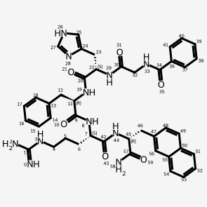 N=C(N)NCCC[C@H](NC(=O)[C@@H](Cc1ccccc1)NC(=O)[C@H](Cc1c[nH]cn1)NC(=O)CNC(=O)c1ccccc1)C(=O)N[C@H](Cc1ccc2ccccc2c1)C(N)=O